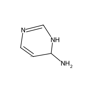 NC1[C]=CN=CN1